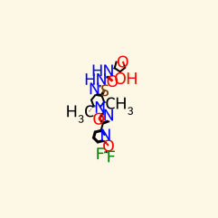 C[C@@H]1Cc2nc(NC(=O)N[C@@H]3COC[C@H]3O)sc2[C@H](C)N1c1ncc(-c2cccc(OC(F)F)n2)o1